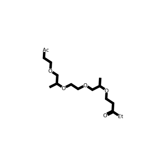 CCC(=O)CCOC(C)COCCOC(C)COCCC(C)=O